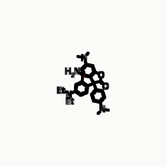 CCN(CC)c1ccc(C2(c3ccc(N(C)C)cc3)C(=O)Oc3cc(N(C)C)ccc32)c(CN)c1